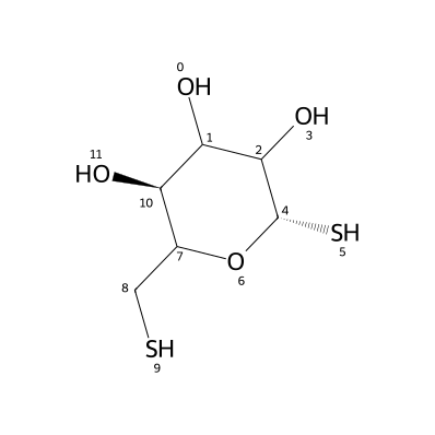 OC1C(O)[C@H](S)OC(CS)[C@H]1O